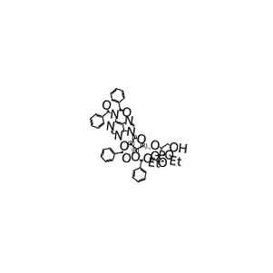 CCOP(=O)(OCC)C(CO)OC[C@H]1O[C@@H](n2cnc3c(N(C(=O)c4ccccc4)C(=O)c4ccccc4)ncnc32)[C@H](OC(=O)c2ccccc2)[C@@H]1OC(=O)c1ccccc1